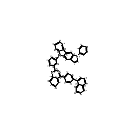 c1ccc(-n2ccc3cc4c(cc32)c2ccccc2n4-c2cccc(-c3nc(-c4ccc(-c5cccc6ccccc56)cc4)c4ccccc4n3)c2)cc1